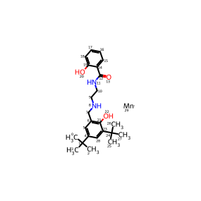 CC(C)(C)c1cc(CNCCNC(=O)c2ccccc2O)c(O)c(C(C)(C)C)c1.[Mn]